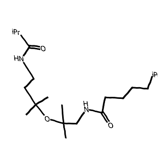 CC(C)CCCCC(=O)NCC(C)(C)OC(C)(C)CCNC(=O)C(C)C